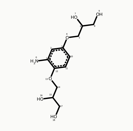 Nc1cc(OCC(O)CO)ccc1OCC(O)CO